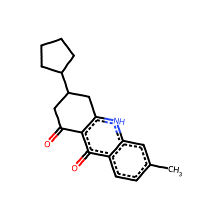 Cc1ccc2c(=O)c3c([nH]c2c1)CC(C1CCCC1)CC3=O